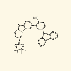 CC1(C)OB(C2=CC3c4cc(-c5cc(-n6c7ccccc7c7ccccc76)ccc5C#N)ccc4SC3C=C2)OC1(C)C